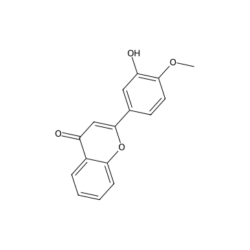 COc1ccc(-c2cc(=O)c3ccccc3o2)cc1O